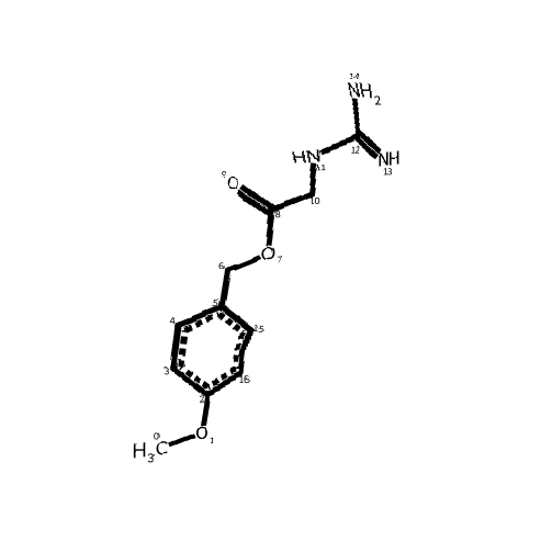 COc1ccc(COC(=O)CNC(=N)N)cc1